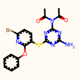 CC(=O)N(C(C)=O)c1nc(N)nc(Sc2ccc(Br)nc2Oc2ccccc2)n1